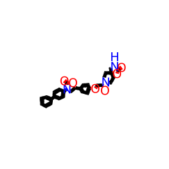 O=C1NCC2(CCN(C(=O)COc3ccc(C4CN(c5ccc(-c6ccccc6)cc5)C(=O)O4)cc3)CC2)O1